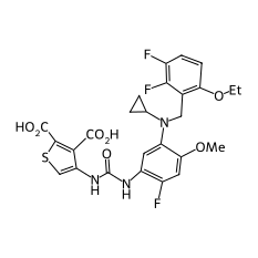 CCOc1ccc(F)c(F)c1CN(c1cc(NC(=O)Nc2csc(C(=O)O)c2C(=O)O)c(F)cc1OC)C1CC1